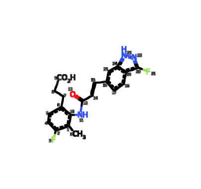 Cc1c(F)ccc(CCC(=O)O)c1NC(=O)/C=C/c1ccc2c(F)n[nH]c2c1